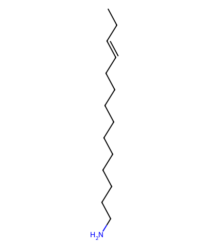 CCC=CCCCCCCCCCCN